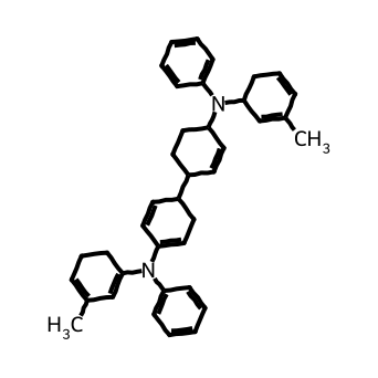 CC1=CCCC(N(C2=CCC(C3C=CC(N(c4ccccc4)C4C=C(C)C=CC4)CC3)C=C2)c2ccccc2)=C1